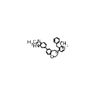 Cc1nc2ccc(-c3ccc4c(c3)CN(c3ccnc(C)c3Cc3ccccc3)CCO4)cc2[nH]1